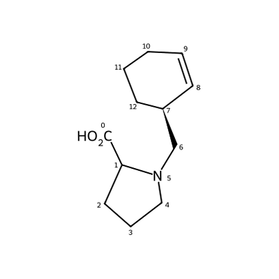 O=C(O)C1CCCN1C[C@@H]1C=CCCC1